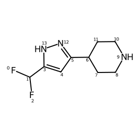 FC(F)c1cc(C2CCNCC2)n[nH]1